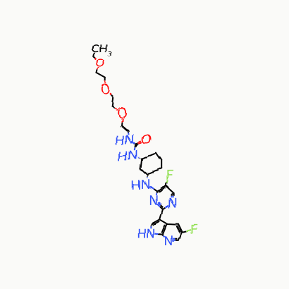 CCOCCOCCOCCNC(=O)N[C@@H]1CCC[C@H](Nc2nc(-c3c[nH]c4ncc(F)cc34)ncc2F)C1